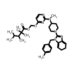 Cc1ccc(Cn2c(N3CCC(N(C)c4nccc(OCOC(=O)C(C)(C)C(C)C(C)C)n4)CC3)nc3c2=CCCC=3)cc1